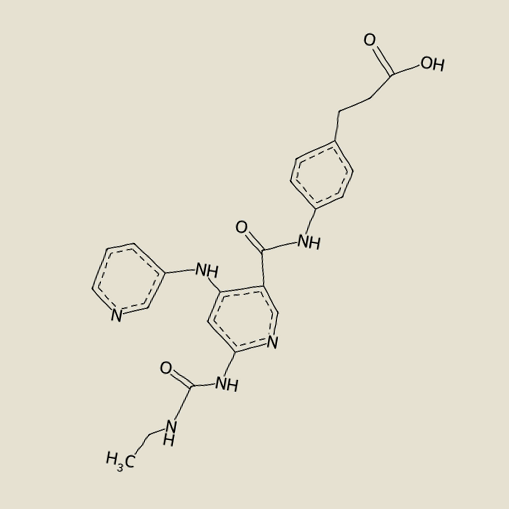 CCNC(=O)Nc1cc(Nc2cccnc2)c(C(=O)Nc2ccc(CCC(=O)O)cc2)cn1